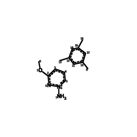 COc1ccc[n+](N)n1.Cc1cc(C)cc(C)c1